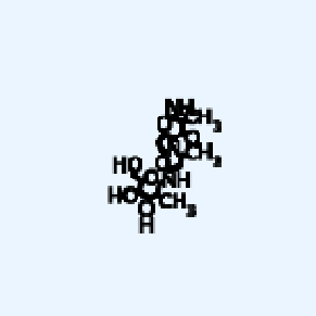 CC(C(N)=O)C(=O)[C@@H]1CCCN1C(C)CC(=O)N[C@@H]1OC(CO)[C@@H](O)[C@H](O)C1C